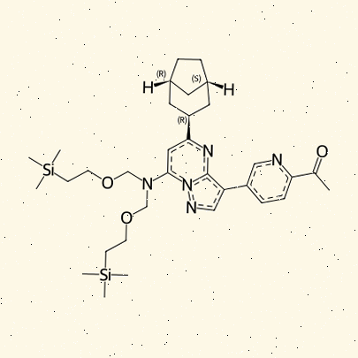 CC(=O)c1ccc(-c2cnn3c(N(COCC[Si](C)(C)C)COCC[Si](C)(C)C)cc([C@H]4C[C@@H]5CC[C@@H](C5)C4)nc23)cn1